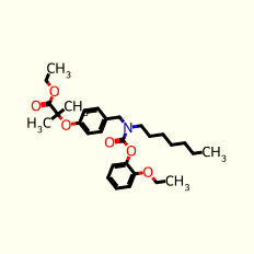 CCCCCCCN(Cc1ccc(OC(C)(C)C(=O)OCC)cc1)C(=O)Oc1ccccc1OCC